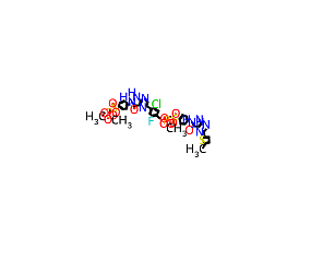 COP(=O)(CS(=O)(=O)c1ccc(NC(=O)c2nc(-c3cc(F)c(COP(=O)(CS(=O)(=O)c4ccc(NC(=O)c5nc(-c6ccc(C)s6)cnc5N)cc4)OC)cc3Cl)cnc2N)cc1)OC